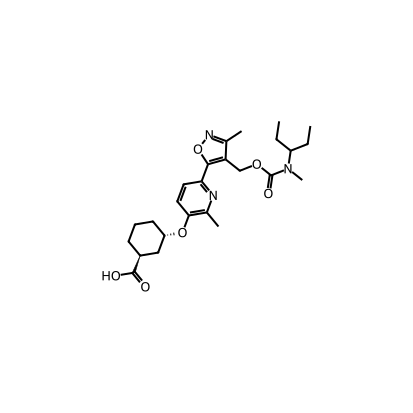 CCC(CC)N(C)C(=O)OCc1c(C)noc1-c1ccc(O[C@H]2CCC[C@H](C(=O)O)C2)c(C)n1